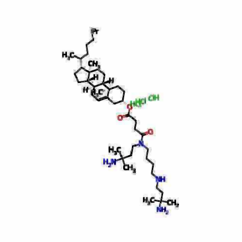 CC(C)CCCC(C)[C@H]1CC[C@H]2[C@@H]3CC=C4C[C@@H](OC(=O)CCC(=O)N(CCCCNCCC(C)(C)N)CCC(C)(C)N)CC[C@]4(C)[C@H]3CC[C@]12C.Cl.Cl.Cl